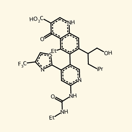 CCNC(=O)Nc1cc(-c2nc(C(F)(F)F)cs2)c(-c2c(C(CO)CC(C)C)cc3[nH]cc(C(=O)O)c(=O)c3c2CC)cn1